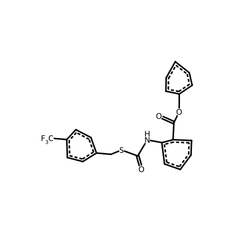 O=C(Nc1ccccc1C(=O)Oc1ccccc1)SCc1ccc(C(F)(F)F)cc1